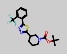 CC(C)(C)OC(=O)N1CCCC(c2nnc(-c3ccccc3C(F)(F)F)s2)C1